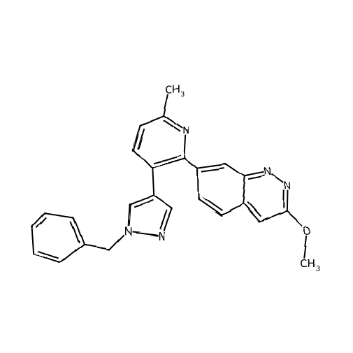 COc1cc2ccc(-c3nc(C)ccc3-c3cnn(Cc4ccccc4)c3)cc2nn1